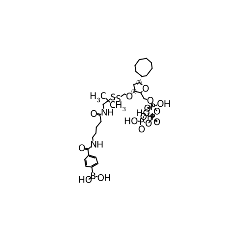 CC(C)(CNC(=O)CCCCNC(=O)c1ccc(B(O)O)cc1)SSCO[C@@H]1C[C@H](C2CCCCCCC2)OC1COP(=O)(O)OP(=O)(O)OP(=O)(O)O